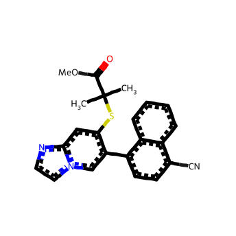 COC(=O)C(C)(C)Sc1cc2nccn2cc1-c1ccc(C#N)c2ccccc12